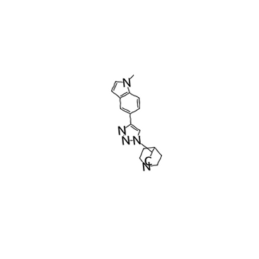 Cn1ccc2cc(-c3cn(C4CN5CCC4CC5)nn3)ccc21